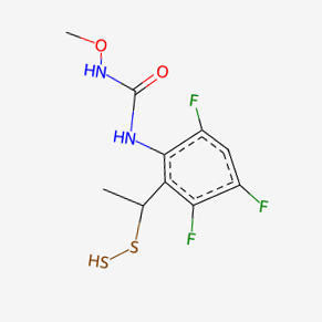 CONC(=O)Nc1c(F)cc(F)c(F)c1C(C)SS